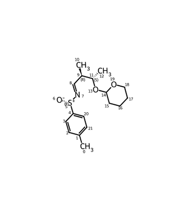 Cc1ccc([S@+]([O-])N=C[C@@H](C)[C@H](C)OC2CCCCO2)cc1